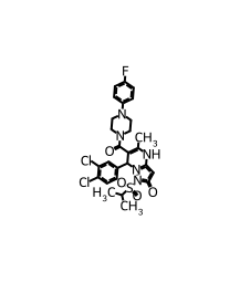 CC1=C(C(=O)N2CCN(c3ccc(F)cc3)CC2)C(c2ccc(Cl)c(Cl)c2)n2c(cc(=O)n2S(=O)(=O)C(C)C)N1